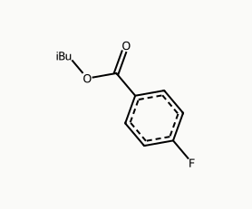 CCC(C)OC(=O)c1ccc(F)cc1